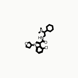 CN(C)C(CNC(=O)c1cn(C2CCOC2)c2cccc(Cl)c12)C1CCCCC1